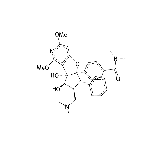 COc1cc2c(c(OC)n1)[C@]1(O)[C@H](O)[C@H](CN(C)C)[C@@H](c3ccccc3)[C@]1(c1ccc(C(=O)N(C)C)cc1)O2